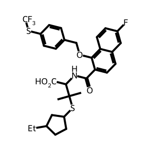 CCC1CCC(SC(C)(C)C(NC(=O)c2ccc3cc(F)ccc3c2OCc2ccc(SC(F)(F)F)cc2)C(=O)O)C1